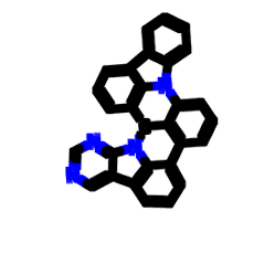 c1cc2c3c(c1)-n1c4ccccc4c4cccc(c41)B3n1c3ncncc3c3cccc-2c31